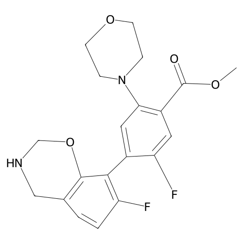 COC(=O)c1cc(F)c(-c2c(F)ccc3c2OCNC3)cc1N1CCOCC1